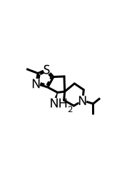 Cc1nc2c(s1)CC1(CCN(C(C)C)CC1)[C@H]2N